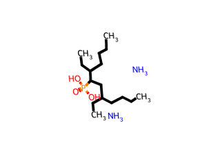 CCCCC(CC)CC(C(CC)CCCC)P(=O)(O)O.N.N